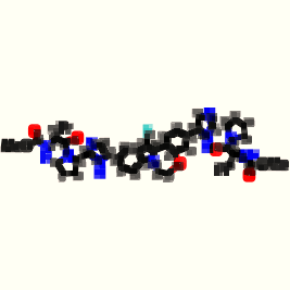 COC(=O)N[C@H](C(=O)N1CCC[C@@H]1c1ncc(-c2ccc3c(c2)c(F)c2n3CCOc3cc(-c4cnc([C@@H]5CCCN5C(=O)[C@@H](NC(=O)OC)C(C)C)[nH]4)ccc3-2)[nH]1)C(C)C